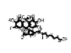 C[Si]1(C)c2c(cc(Cl)c(O)c2Cl)C2(OC(=O)c3ccc(C(=O)NCCCCCCO)cc32)c2cc(Cl)c(O)c(Cl)c21